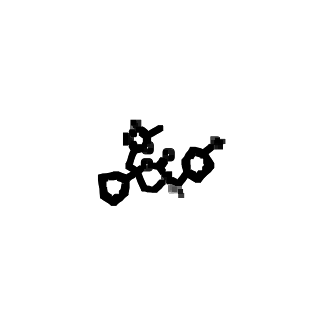 Cc1nnc(CC2(c3ccccc3)CCN([C@@H](C)c3ccc(Br)cc3)C(=O)O2)o1